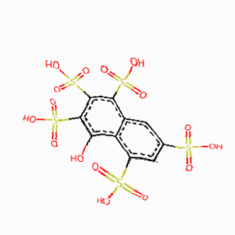 O=S(=O)(O)c1[c]c(S(=O)(=O)O)c2c(O)c(S(=O)(=O)O)c(S(=O)(=O)O)c(S(=O)(=O)O)c2c1